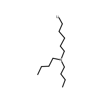 [Li][CH2]CCCCN(CCCC)CCCC